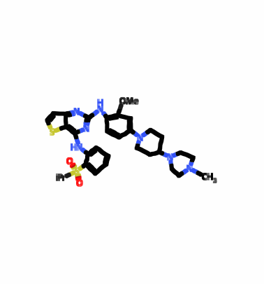 COc1cc(N2CCC(N3CCN(C)CC3)CC2)ccc1Nc1nc(Nc2ccccc2S(=O)(=O)C(C)C)c2sccc2n1